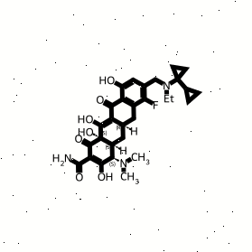 CCN(Cc1cc(O)c2c(c1F)C[C@H]1C[C@H]3[C@H](N(C)C)C(O)=C(C(N)=O)C(=O)[C@@]3(O)C(O)=C1C2=O)C1(C2CC2)CC1